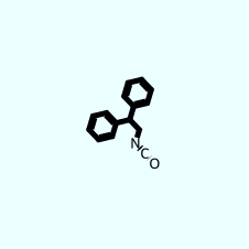 O=C=NCC(c1ccccc1)c1ccccc1